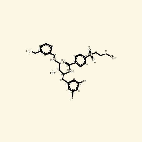 CCc1cccc(CNC[C@@H](O)[C@H](Cc2cc(F)cc(F)c2)NC(=O)c2ccc(S(=O)(=O)CCOC)cc2)c1